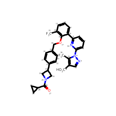 O=C(O)c1cnn(-c2cccc(-c3cccc(C(F)(F)F)c3OCc3ccc(C4CN(C(=O)C5CC5)C4)cc3)n2)c1C(F)(F)F